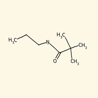 CCC[N]C(=O)C(C)(C)C